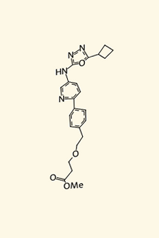 COC(=O)CCOCCc1ccc(-c2ccc(Nc3nnc(C4CCC4)o3)cn2)cc1